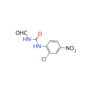 O=CNC(=O)Nc1ccc([N+](=O)[O-])cc1Cl